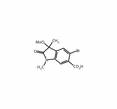 COC1(C)C(=O)N(C)c2cc(C(=O)O)c(Br)cc21